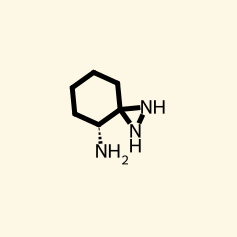 N[C@@H]1CCCCC12NN2